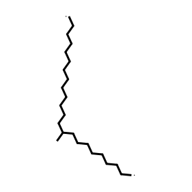 [CH2]CCCCCCCCCCCCC(C)CCCCCCCC[CH2]